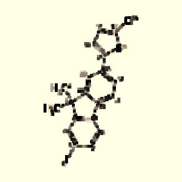 CC1(C)c2cc(I)ccc2-c2ccc(-c3ccc(Cl)s3)cc21